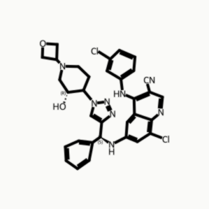 N#Cc1cnc2c(Cl)cc(N[C@@H](c3ccccc3)c3cn(C4CCN(C5COC5)C[C@H]4O)nn3)cc2c1Nc1cccc(Cl)c1